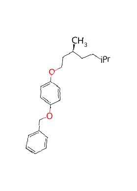 CC(C)CC[C@H](C)CCOc1ccc(OCc2ccccc2)cc1